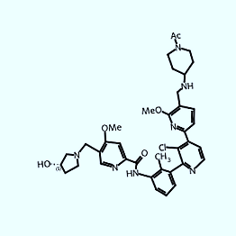 COc1cc(C(=O)Nc2cccc(-c3nccc(-c4ccc(CNC5CCN(C(C)=O)CC5)c(OC)n4)c3Cl)c2C)ncc1CN1CC[C@H](O)C1